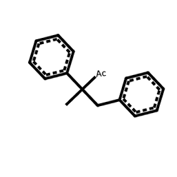 CC(=O)C(C)(Cc1ccccc1)c1ccccc1